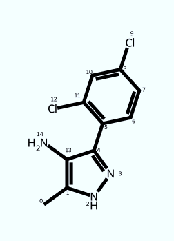 Cc1[nH]nc(-c2ccc(Cl)cc2Cl)c1N